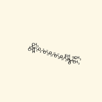 CCC(C)NCCOCCOCCOCCOCCOCC(F)CNC(=O)C(C)CC